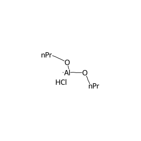 CCC[O][Al][O]CCC.Cl